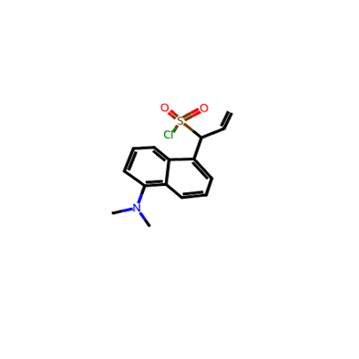 C=CC(c1cccc2c(N(C)C)cccc12)S(=O)(=O)Cl